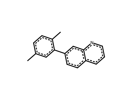 Cc1ccc(C)c(-c2ccc3cccnc3c2)c1